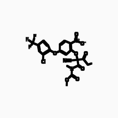 CCC(=O)C(C#N)(Oc1cc(Oc2ccc(C(F)(F)F)cc2Cl)ccc1[N+](=O)[O-])C(=O)N(C)C(=O)OC